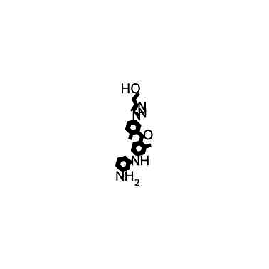 Cc1cc(Nc2cccc(N)c2)ccc1C(=O)c1cc(-n2cc(CCO)nn2)ccc1C